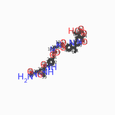 CCc1c2c(nc3cc(OC(=O)N(C)CCN(C)C(=O)OCc4ccc(NC(=O)[C@H](CCCNC(N)=O)NC(C)=O)cc4)ccc13)-c1cc3c(c(=O)n1C2)COC(=O)[C@]3(O)CC